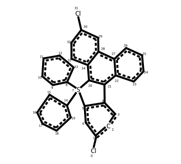 Clc1ccc2c(c1)S(c1ccccc1)(c1ccccc1)c1c-2c2ccccc2c2cc(Cl)ccc12